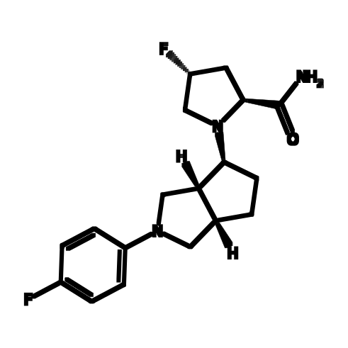 NC(=O)[C@@H]1C[C@@H](F)CN1[C@H]1CC[C@@H]2CN(c3ccc(F)cc3)C[C@@H]21